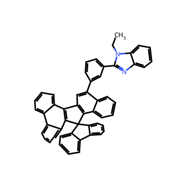 CCn1c(-c2cccc(-c3cc4c(c5ccccc35)C3(c5ccccc5-c5ccccc53)c3c-4c4ccccc4c4ccccc34)c2)nc2ccccc21